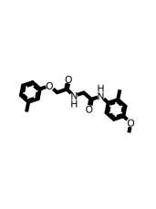 COc1ccc(NC(=O)CNC(=O)COc2cccc(C)c2)c(C)c1